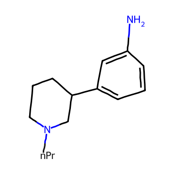 CCCN1CCCC(c2cccc(N)c2)C1